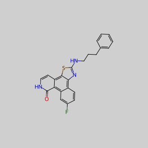 O=c1[nH]ccc2c3sc(NCCCc4ccccc4)nc3c3ccc(F)cc3c12